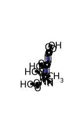 Cc1c(C#N)c(NCCS(=O)(=O)CCO)nc(NCCO)c1/N=N/c1ccc(/N=N/c2ccc(S(=O)(=O)O)cc2)cc1S(=O)(=O)O